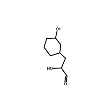 O=CC(O)CC1CCCC(O)C1